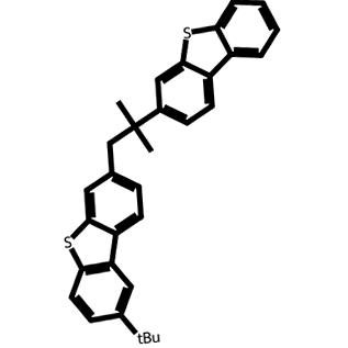 CC(C)(C)c1ccc2sc3cc(CC(C)(C)c4ccc5c(c4)sc4ccccc45)ccc3c2c1